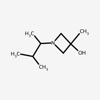 CC(C)C(C)N1CC(C)(O)C1